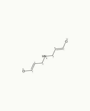 ClC=CCNCC=CCl